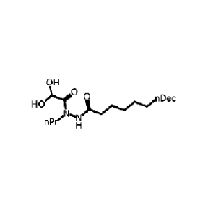 CCCCCCCCCCCCCCCC(=O)NN(CCC)C(=O)C(O)O